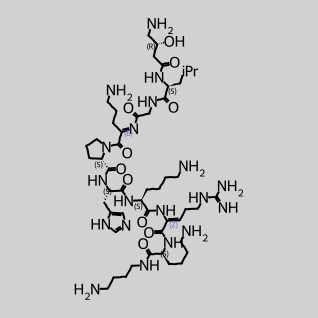 CC(C)C[C@H](NC(=O)C[C@@H](O)CN)C(=O)NCC(=O)/N=C(\CCCN)C(=O)N1CCC[C@H]1C(=O)N[C@@H](Cc1cnc[nH]1)C(=O)N[C@@H](CCCCN)C(=O)N/C(=C\CCNC(=N)N)C(=O)N[C@@H](CCCCN)C(=O)NCCCCN